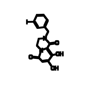 O=C1c2c(O)c(O)cc(=O)n2CCN1Cc1cccc(I)c1